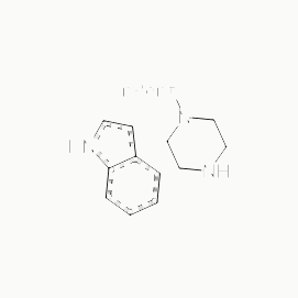 CCCCCN1CCNCC1.c1ccc2[nH]ccc2c1